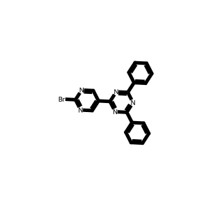 Brc1ncc(-c2nc(-c3ccccc3)nc(-c3ccccc3)n2)cn1